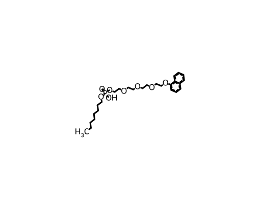 CCCCCCCCOP(=O)(O)OCCOCCOCCOCCOc1cccc2ccccc12